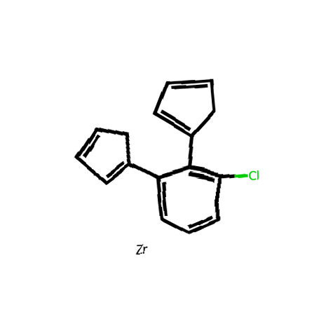 Clc1cccc(C2=CC=CC2)c1C1=CC=CC1.[Zr]